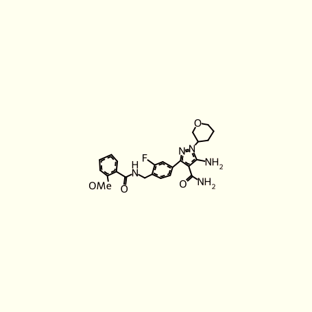 COc1ccccc1C(=O)NCc1ccc(-c2nn(C3CCCOC3)c(N)c2C(N)=O)cc1F